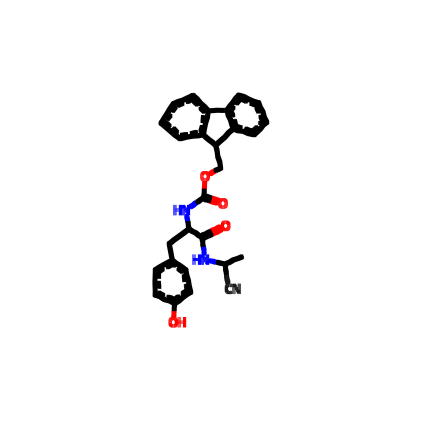 CC(C#N)NC(=O)C(Cc1ccc(O)cc1)NC(=O)OCC1c2ccccc2-c2ccccc21